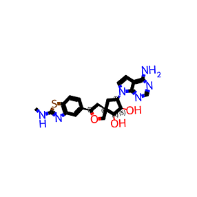 CNc1nc2cc([C@H]3C[C@@]4(CO3)C[C@@H](n3ccc5c(N)ncnc53)[C@H](O)[C@@H]4O)ccc2s1